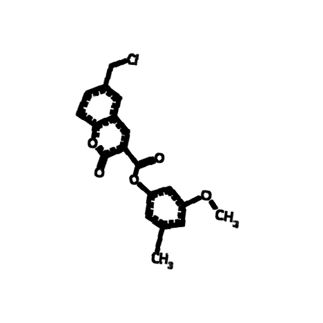 COc1cc(C)cc(OC(=O)c2cc3cc(CCl)ccc3oc2=O)c1